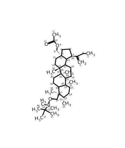 C=C(CC)[C@@H]1CC[C@]2(COC(C)=O)CC[C@]3(C)C(CCC4[C@@]5(C)CC[C@H](C)[C@@](C)(CO[Si](C)(C)C(C)(C)C)C5CC[C@]43C)C12